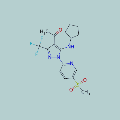 CC(=O)c1c(C(F)(F)F)nn(-c2ccc(S(C)(=O)=O)cn2)c1NC1CCCC1